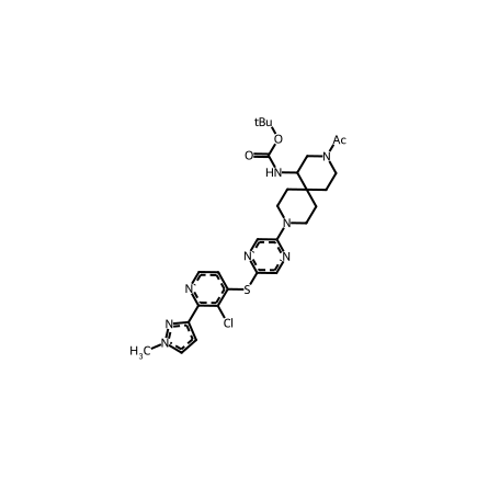 CC(=O)N1CCC2(CCN(c3cnc(Sc4ccnc(-c5ccn(C)n5)c4Cl)cn3)CC2)C(NC(=O)OC(C)(C)C)C1